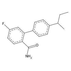 CCC(C)c1ccc(-c2cc(F)ccc2C(N)=O)cc1